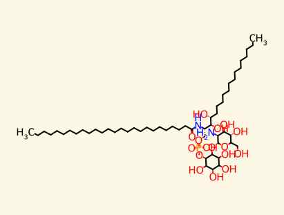 CCCCCCCCCCCCCCCCCCCCCCCCCC(=O)N[C@@H](COP(=O)(O)O[C@H]1C(O[C@H]2OC(CO)[C@@H](O)C(O)[C@@H]2N)C(O)C(O)[C@@H](O)C1O)[C@H](O)[C@H](O)CCCCCCCCCCCCCC